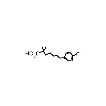 O=C(O)C(=O)CCCCCc1ccc(Cl)cc1